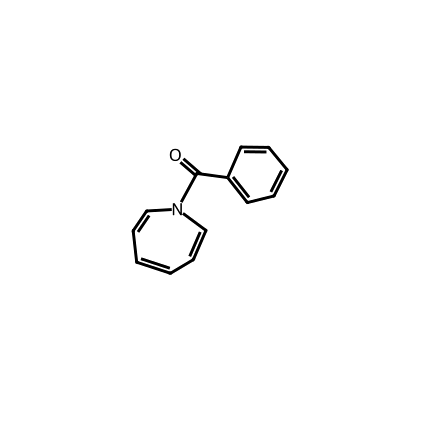 O=C(c1ccccc1)N1C=CC=CC=C1